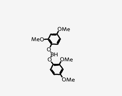 COc1ccc(OBOc2ccc(OC)cc2OC)c(OC)c1